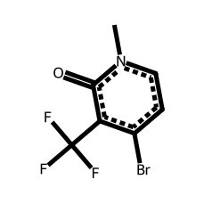 Cn1ccc(Br)c(C(F)(F)F)c1=O